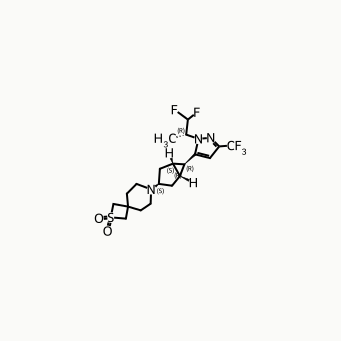 C[C@H](C(F)F)n1nc(C(F)(F)F)cc1[C@H]1[C@@H]2C[C@@H](N3CCC4(CC3)CS(=O)(=O)C4)C[C@@H]21